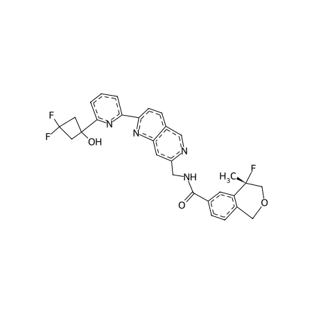 C[C@@]1(F)COCc2ccc(C(=O)NCc3cc4nc(-c5cccc(C6(O)CC(F)(F)C6)n5)ccc4cn3)cc21